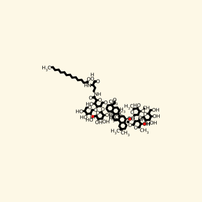 CCCCCCCCCCCCCC(=O)NC(CCNC(=O)C1OC(O[C@H]2CC[C@@]3(C)C(CC[C@]4(C)C3CC=C3C5CC(C)(C)CC[C@]5(C(=O)OC5OC(C)C(O)C(O)C5OC5OC(C)C(O)C(OC)C5OC5OC(CO)C(O)C(O)C5O)[C@H](O)C[C@]34C)[C@]2(C)C=O)C(OC2OC(CO)C(O)C(O)C2O)C(OC2OCC(O)C(O)C2O)C1O)C(=O)O